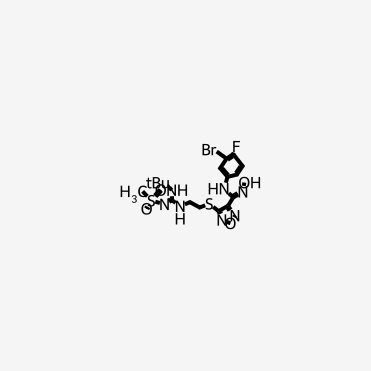 CC(C)(C)N/C(=N\S(C)(=O)=O)NCCSc1nonc1/C(=N/O)Nc1ccc(F)c(Br)c1